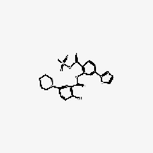 CS(=O)(=O)OC(=O)c1ccc(-c2ccco2)cc1NC(=O)c1cc(N2CCCCC2)ccc1O